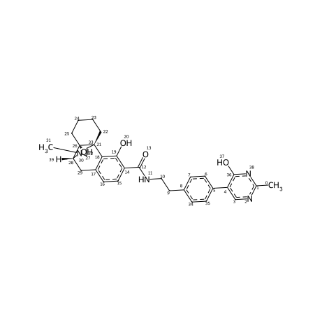 Cc1ncc(-c2ccc(CCNC(=O)c3ccc4c(c3O)[C@@]35CCCC[C@@]3(O)[C@@H](C4)N(C)CC5)cc2)c(O)n1